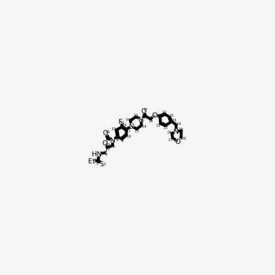 CCC(=S)NC[C@H]1CN(c2ccc(N3CCN(C(=O)COc4ccc(CN5CCOCC5)cc4)CC3)c(F)c2)C(=O)O1